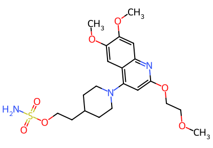 COCCOc1cc(N2CCC(CCOS(N)(=O)=O)CC2)c2cc(OC)c(OC)cc2n1